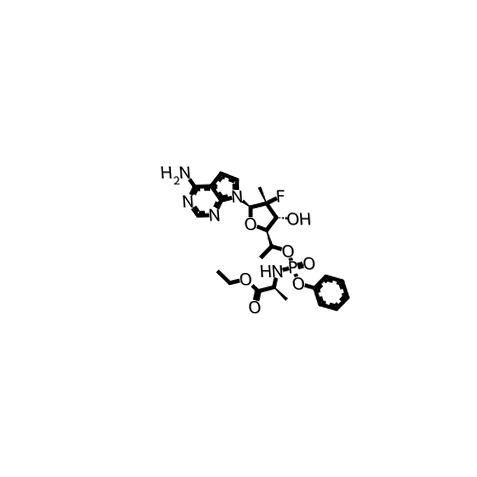 CCOC(=O)[C@H](C)NP(=O)(Oc1ccccc1)OC(C)[C@H]1O[C@@H](n2ccc3c(N)ncnc32)[C@](C)(F)[C@@H]1O